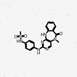 CN1C(=O)c2ccccc2Nc2nc(Nc3ccc(NS(C)(=O)=O)cc3)ncc21